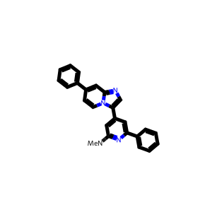 CNc1cc(-c2cnc3cc(-c4ccccc4)ccn23)cc(-c2ccccc2)n1